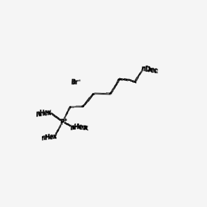 CCCCCCCCCCCCCCCC[P+](CCCCCC)(CCCCCC)CCCCCC.[Br-]